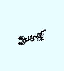 C=C1/C(=C\C=C2/CCC[C@]3(C)[C@@H]([C@H](C)/C=C/[C@@H](O)C4(c5ncc(CCCC)o5)CC4)CC[C@@H]23)C[C@@H](O[Si](C)(C)C(C)(C)C)C[C@@H]1O[Si](C)(C)C(C)(C)C